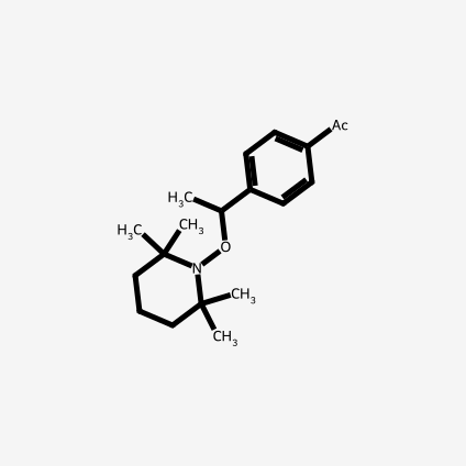 CC(=O)c1ccc(C(C)ON2C(C)(C)CCCC2(C)C)cc1